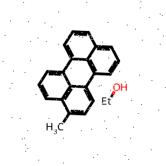 CCO.Cc1ccc2c3cccc4cccc(c5cccc1c52)c43